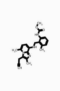 C#CCc1c(C)nc2c(NCc3c(C)cccc3NC(=O)OC)ccc(C)n12